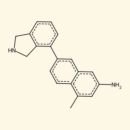 Cc1cc(N)cc2cc(-c3cccc4c3CNC4)ccc12